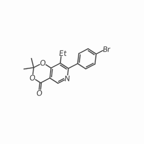 CCc1c(-c2ccc(Br)cc2)ncc2c1OC(C)(C)OC2=O